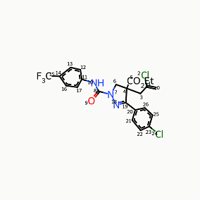 C=C(Cl)CC1(C(=O)OCC)CN(C(=O)Nc2ccc(C(F)(F)F)cc2)N=C1c1ccc(Cl)cc1